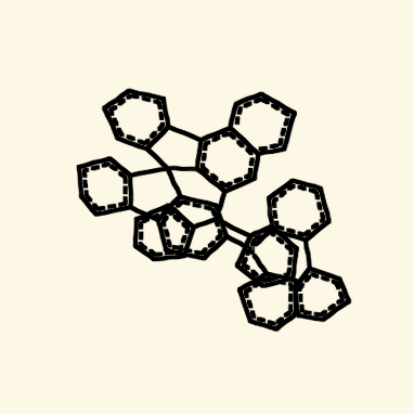 c1ccc(-c2ccccc2N(c2ccccc2)c2ccc3c(c2)C2(c4ccccc4-3)c3ccccc3-c3c2c(C(c2ccccc2)c2ccccc2)cc2ccccc32)cc1